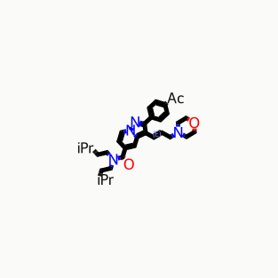 CC(=O)c1ccc(-c2nn3ccc(C(=O)N(CCC(C)C)CCC(C)C)cc3c2/C=C/CN2CCOCC2)cc1